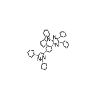 c1ccc(-c2cc(-c3ccc(-c4nc(-c5ccccc5)c(-c5ccccc5)nc4-n4c5ccccc5c5ccccc54)cc3)nc(-c3ccccc3)n2)cc1